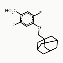 O=C(O)c1cc(F)c(OCC23CC4CC(CC(C4)C2)C3)cc1F